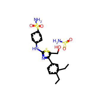 CCc1ccc(-c2nc(Nc3ccc(S(N)(=O)=O)cc3)sc2CO)cc1CC.N[SH](=O)=O